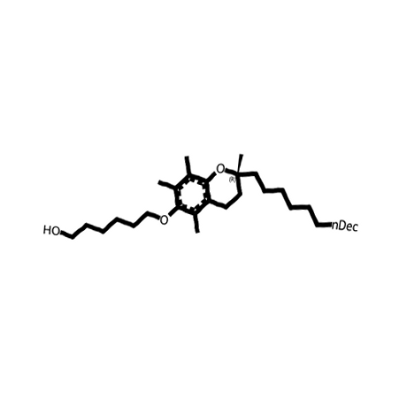 CCCCCCCCCCCCCCCC[C@]1(C)CCc2c(C)c(OCCCCCCO)c(C)c(C)c2O1